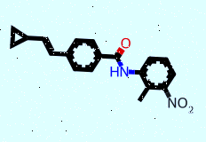 Cc1c(NC(=O)c2ccc(C=CC3CC3)cc2)cccc1[N+](=O)[O-]